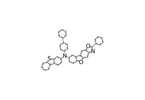 c1ccc(-c2ccc(N(c3ccc4c(c3)sc3ccccc34)c3ccc4oc5cc6nc(-c7ccccc7)oc6cc5c4c3)cc2)cc1